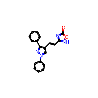 O=c1nc(C=Cc2cn(-c3ccccc3)nc2-c2ccccc2)[nH]o1